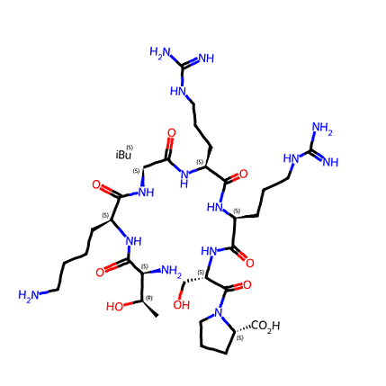 CC[C@H](C)[C@H](NC(=O)[C@H](CCCCN)NC(=O)[C@@H](N)[C@@H](C)O)C(=O)N[C@@H](CCCNC(=N)N)C(=O)N[C@@H](CCCNC(=N)N)C(=O)N[C@@H](CO)C(=O)N1CCC[C@H]1C(=O)O